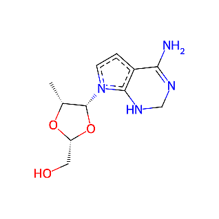 C[C@H]1O[C@@H](CO)O[C@H]1n1ccc2c1NCN=C2N